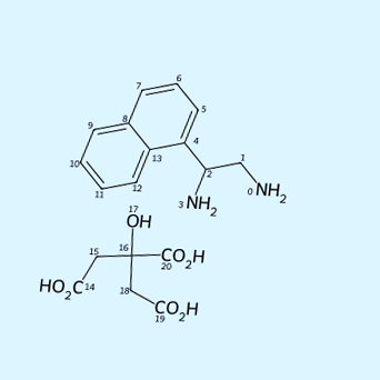 NCC(N)c1cccc2ccccc12.O=C(O)CC(O)(CC(=O)O)C(=O)O